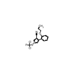 C=CCOc1ccccc1-c1cn(SC(F)(Cl)Cl)cc1C#N